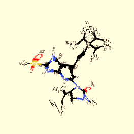 CC(C)C1CN(C)C(=O)N1c1cc(C#C[Si](C(C)C)(C(C)C)C(C)C)c2cnc(S(C)(=O)=O)nc2n1